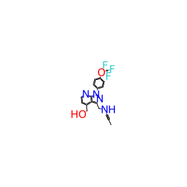 CC#CNCc1nn(-c2ccc(OC(F)(F)F)cc2)c2nccc(CO)c12